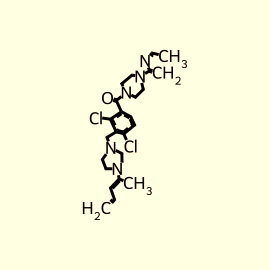 C=C/C=C(\C)N1CCN(Cc2c(Cl)ccc(C(=O)N3CCN(C(=C)/N=C\C)CC3)c2Cl)CC1